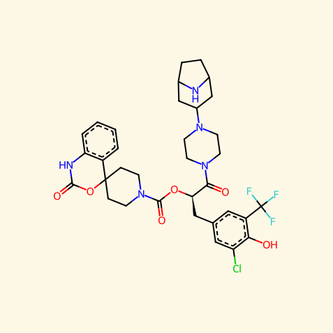 O=C1Nc2ccccc2C2(CCN(C(=O)O[C@H](Cc3cc(Cl)c(O)c(C(F)(F)F)c3)C(=O)N3CCN(C4CC5CCC(C4)N5)CC3)CC2)O1